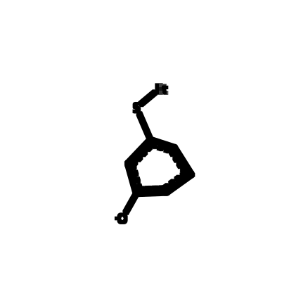 CCSc1cccc([O])c1